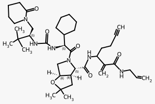 C#CCCC(NC(=O)[C@@H]1[C@H]2CC(C)(C)O[C@H]2CN1C(=O)[C@@H](NC(=O)N[C@H](CN1CCCCC1=O)C(C)(C)C)C1CCCCC1)C(=C)C(=O)NCC=C